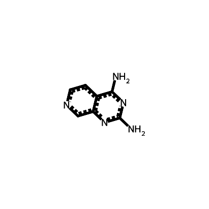 Nc1nc(N)c2ccncc2n1